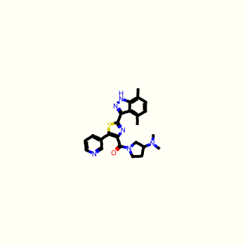 Cc1ccc(C)c2c(-c3nc(C(=O)N4CCC(N(C)C)C4)c(-c4cccnc4)s3)n[nH]c12